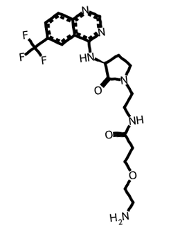 NCCOCCC(=O)NCCN1CC[C@H](Nc2ncnc3ccc(C(F)(F)F)cc23)C1=O